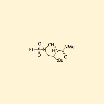 CCS(=O)(=O)N(C)CC(NC(=O)NC)C(C)(C)C